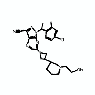 Cc1cc(Cl)ccc1C(C)n1nc(C#N)c2ncc(N3CC(C4CCCN(CCO)C4)C3)nc21